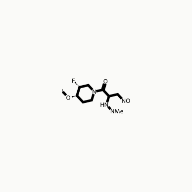 CNNC(CN=O)C(=O)N1CC[C@H](OI)[C@H](F)C1